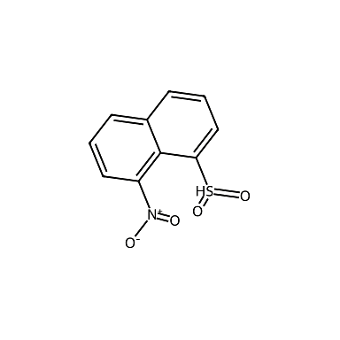 O=[N+]([O-])c1cccc2cccc([SH](=O)=O)c12